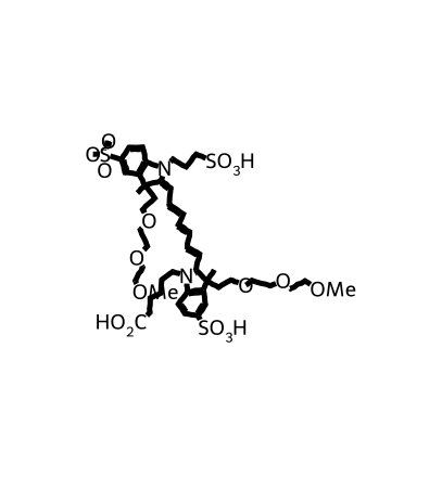 COCCOCCOCCC1(C)C(/C=C/C=C/C=C/C=C2/N(CCCS(=O)(=O)O)c3ccc(S(=O)(=O)[O-])cc3C2(C)CCOCCOCCOC)=[N+](CCCCCC(=O)O)c2ccc(S(=O)(=O)O)cc21